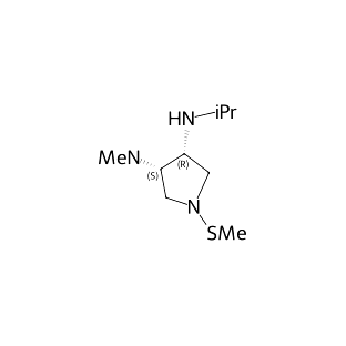 CN[C@H]1CN(SC)C[C@H]1NC(C)C